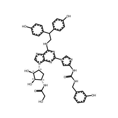 O=C(CO)N[C@H]1C[C@@H](n2cnc3c(NCC(c4ccc(O)cc4)c4ccc(O)cc4)nc(-n4cnc(NC(=O)NCc5cccc(O)c5)c4)nc32)[C@H](O)[C@@H]1O